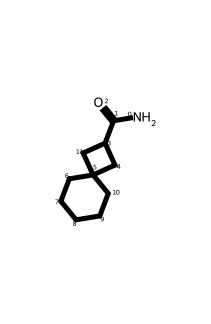 NC(=O)C1CC2(CCCCC2)C1